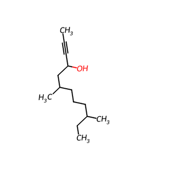 CC#CC(O)CC(C)CCCC(C)CC